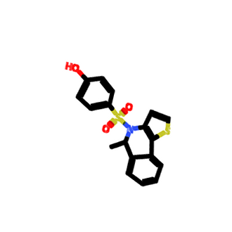 CC1c2ccccc2-c2sccc2N1S(=O)(=O)c1ccc(O)cc1